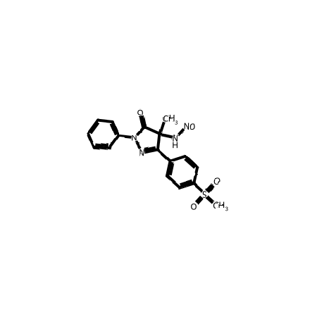 CC1(NN=O)C(=O)N(c2ccccc2)N=C1c1ccc(S(C)(=O)=O)cc1